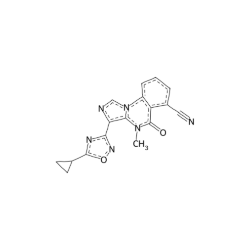 Cn1c(=O)c2c(C#N)cccc2n2cnc(-c3noc(C4CC4)n3)c12